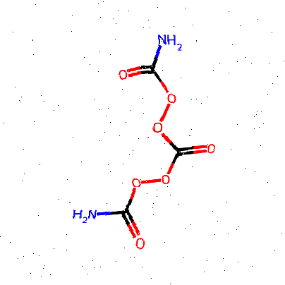 NC(=O)OOC(=O)OOC(N)=O